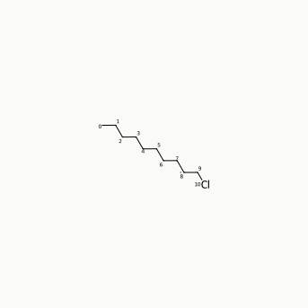 CCCCCCCC[CH]CCl